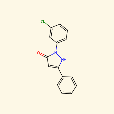 O=c1cc(-c2ccccc2)[nH]n1-c1cccc(Cl)c1